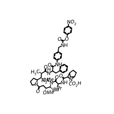 CC[C@H](C)[C@@H]([C@@H](CC(=O)N1CCCC1[C@H](OC)[C@@H](C)C(=O)NC(Cc1ccccc1)C(=O)Nc1ccc(CNC(=O)Oc2ccc([N+](=O)[O-])cc2)cc1)OC)N(C)C(=O)C(NC(=O)C1C2CCC(C2)N1C(=O)O)C(C)C